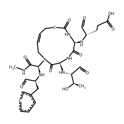 CNC(=O)[C@H](N[C@H](C=O)Cc1ccccc1)N1CC=CCCC(=O)N[C@@H](N[C@H](C=O)CCC(=O)O)C(=O)N[C@@H](N[C@H](C=O)[C@@H](C)O)C1=O